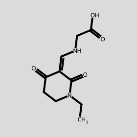 CCN1CCC(=O)C(=CNCC(=O)O)C1=O